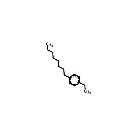 C[CH]c1ccc(CCCCCCCC)cc1